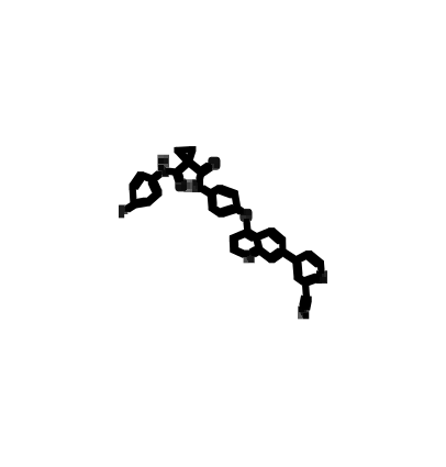 N#Cc1cc(-c2ccc3c(Oc4ccc(NC(=O)C5(C(=O)Nc6ccc(F)cc6)CC5)cc4)ccnc3c2)ccn1